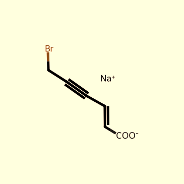 O=C([O-])C=CC#CCBr.[Na+]